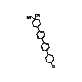 CCCC1(C#N)CCC(c2ccc(-c3ccc(C4CCC(CC)CC4)cc3)cc2)CC1